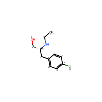 CCN[C@@H](CO)Cc1ccc(Cl)cc1